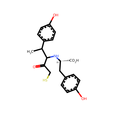 CC(c1ccc(O)cc1)C(N[C@@H](Cc1ccc(O)cc1)C(=O)O)C(=O)CS